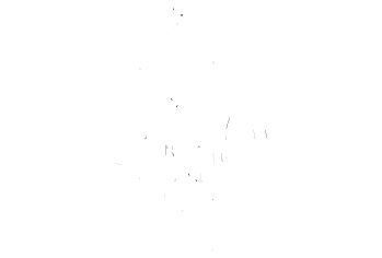 Cl.Cl.O=CNC(Oc1ccccc1)(C(=O)O)N1CCN(C2CCNCC2)CC1